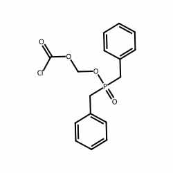 O=C(Cl)OCOP(=O)(Cc1ccccc1)Cc1ccccc1